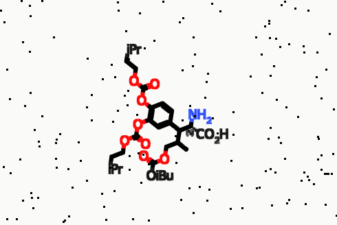 CC(C)CCOC(=O)Oc1ccc(C(C(C)COC(=O)OCC(C)C)[C@H](N)C(=O)O)cc1OC(=O)OCCC(C)C